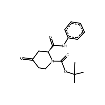 CC(C)(C)OC(=O)N1CCC(=O)C[C@H]1C(=O)Nc1ccccc1